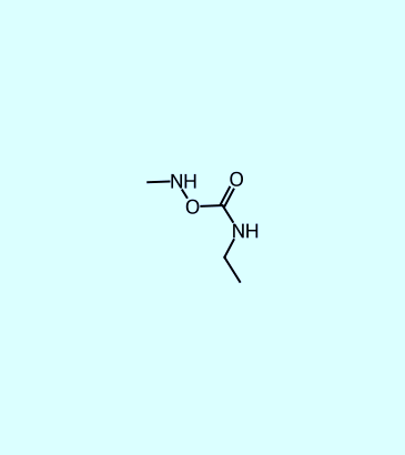 CCNC(=O)ONC